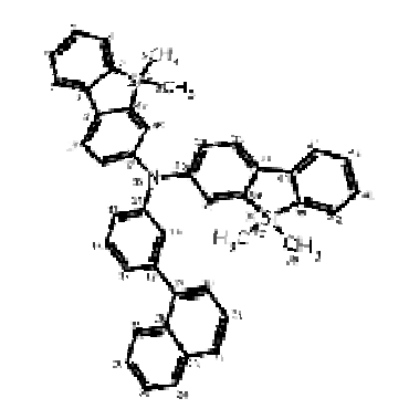 C[Si]1(C)c2ccccc2-c2ccc(N(c3cccc(-c4cccc5ccccc45)c3)c3ccc4c(c3)[Si](C)(C)c3ccccc3-4)cc21